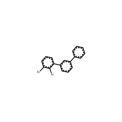 CC(=O)c1cccc(-c2cccc(-c3ccccc3)c2)c1C(C)=O